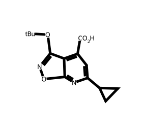 CC(C)(C)Oc1noc2nc(C3CC3)cc(C(=O)O)c12